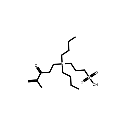 C=C(C)C(=O)CC[N+](CCCC)(CCCC)CCCS(=O)(=O)O